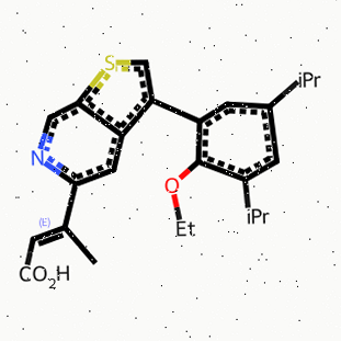 CCOc1c(-c2csc3cnc(/C(C)=C/C(=O)O)cc23)cc(C(C)C)cc1C(C)C